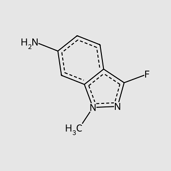 Cn1nc(F)c2ccc(N)cc21